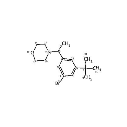 CC(c1cc(Br)cc(C(C)(C)C)c1)N1CCOCC1